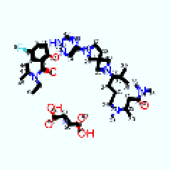 CCN(C(=O)c1cc(F)ccc1ON1C=C(N2CCC3(C2)CN(C(CCCN(C)C(C)CC(=O)N(C)C)C(C)C)C3)N=CN1)C(C)C.O=C(O)/C=C/C(=O)O